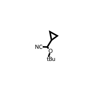 CC(C)(C)OC(C#N)C1CC1